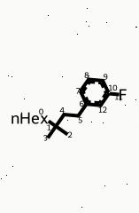 CCCCCCC(C)(C)CCc1cccc(F)c1